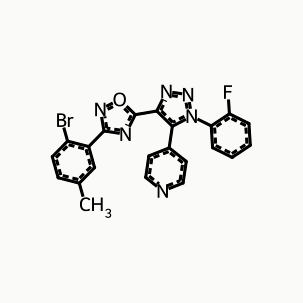 Cc1ccc(Br)c(-c2noc(-c3nnn(-c4ccccc4F)c3-c3ccncc3)n2)c1